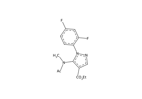 CCOC(=O)c1cnn(-c2ccc(F)cc2F)c1N(C)C(C)=O